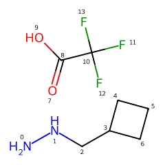 NNCC1CCC1.O=C(O)C(F)(F)F